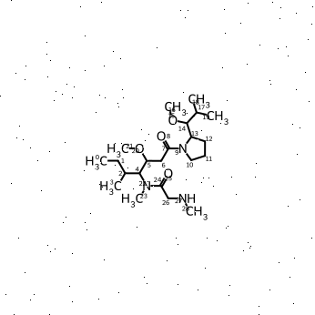 CCC(C)C(C(CC(=O)N1CCCC1C(OC)C(C)C)OC)N(C)C(=O)CNC